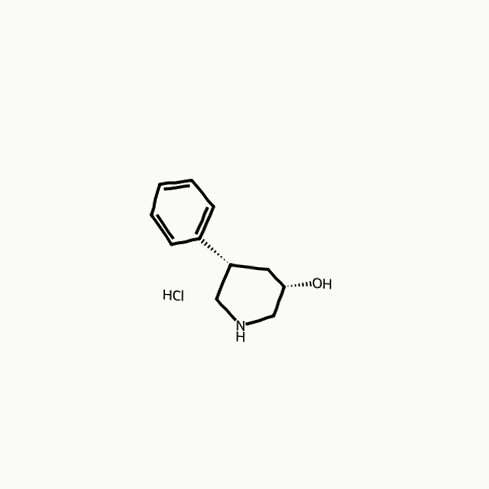 Cl.O[C@@H]1CNC[C@H](c2ccccc2)C1